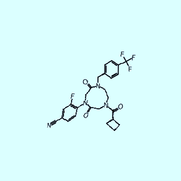 N#Cc1ccc(N2CC(=O)N(Cc3ccc(C(F)(F)F)cc3)CCN(C(=O)C3CCC3)CC2=O)c(F)c1